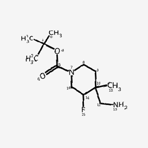 CC(C)(C)OC(=O)N1CCC(C)(CN)C(F)C1